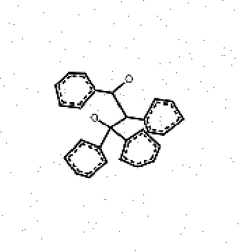 [O]C(c1ccccc1)C(c1ccccc1)C([O])(c1ccccc1)c1ccccc1